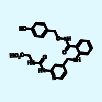 CCOC(=O)CNC(=O)Nc1cc(CNc2ccccc2C(=O)NOCc2ccc(C#N)cc2)ccn1